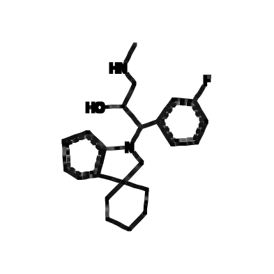 CNCC(O)C(c1cccc(F)c1)N1CC2(CCCCC2)c2ccccc21